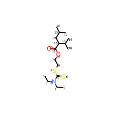 CCN(CC)C(=S)SCCOC(=O)C(CC(C)C)C(C)C